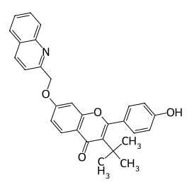 CC(C)(C)c1c(-c2ccc(O)cc2)oc2cc(OCc3ccc4ccccc4n3)ccc2c1=O